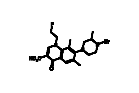 Cc1cc2c(=O)c(C(=O)O)cn(CCF)c2c(C)c1N1CCN(C(C)C)C(C)C1